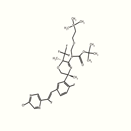 CC(C)(C)OC(=O)N(COCC[Si](C)(C)C)C1=N[C@](C)(c2cc(/C=C(\F)c3cnc(Cl)cn3)ccc2F)CO[C@@]1(C)C(F)(F)F